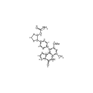 COc1cc(C)c2[nH]c(=O)c3sccc3c2c1-c1ccc(C2CCCC2OC(N)=O)cc1